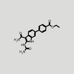 CCOC(=O)c1ccc(-c2ccc3c(C(N)=O)c(NC(N)=O)[nH]c3c2)cc1